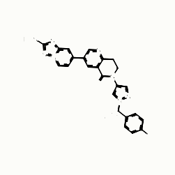 C[C@@H](c1ccc(F)cc1)n1cc(N2CCc3ncc(-c4ccn5nc(N)nc5c4)cc3C2=O)cn1